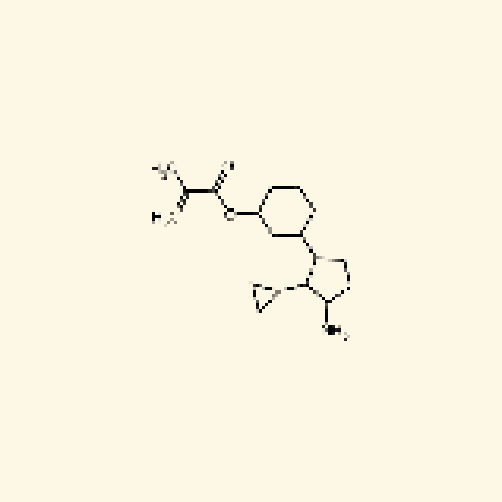 C=C(C)C(=O)OC1CCCC(C2CCC(N)C2C2CC2)C1